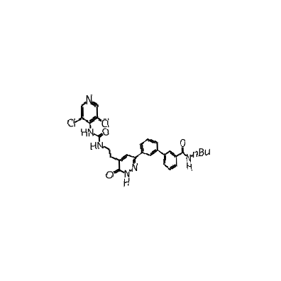 CCCCNC(=O)c1cccc(-c2cccc(-c3cc(CCNC(=O)Nc4c(Cl)cncc4Cl)c(=O)[nH]n3)c2)c1